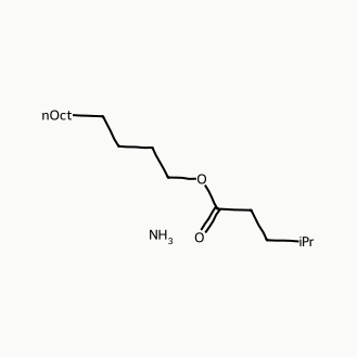 CCCCCCCCCCCCOC(=O)CCC(C)C.N